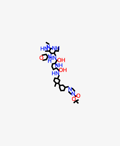 CCC1NC2C(CNN2CC)C(NC2CCOCC2)C1CNC(O)C1CCCC(C(O)NCC2CCC(C)C(C3CCCC(CN4CCN(C(=O)OC(C)(C)C)CC4)C3)C2)N1